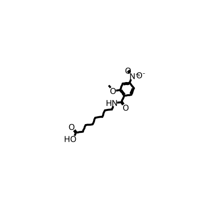 COc1cc([N+](=O)[O-])ccc1C(=O)NCCCCCCCC(=O)O